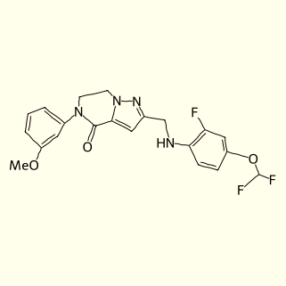 COc1cccc(N2CCn3nc(CNc4ccc(OC(F)F)cc4F)cc3C2=O)c1